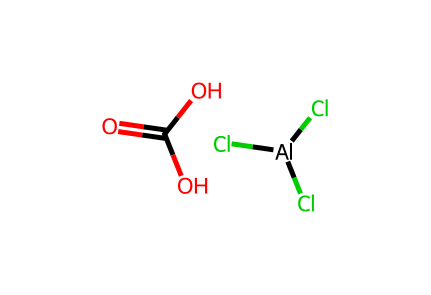 O=C(O)O.[Cl][Al]([Cl])[Cl]